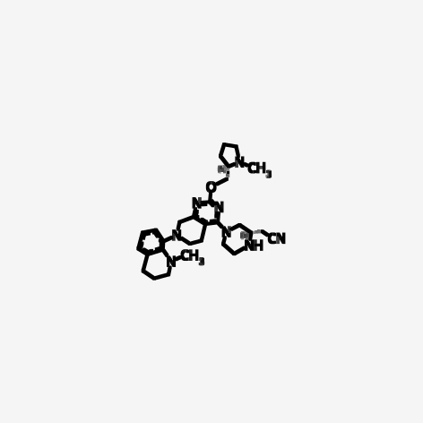 CN1CCCc2cccc(N3CCc4c(nc(OC[C@@H]5CCCN5C)nc4N4CCN[C@@H](CC#N)C4)C3)c21